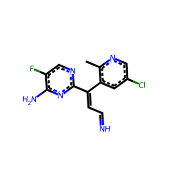 Cc1ncc(Cl)cc1/C(=C\C=N)c1ncc(F)c(N)n1